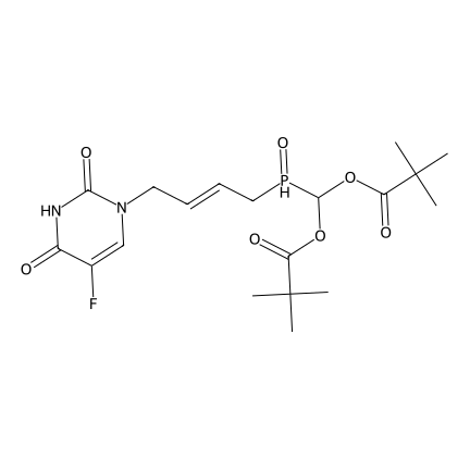 CC(C)(C)C(=O)OC(OC(=O)C(C)(C)C)[PH](=O)CC=CCn1cc(F)c(=O)[nH]c1=O